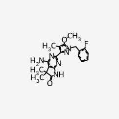 COc1c(C)c(-c2nc(N)c3c(n2)NC(=O)C3(C)C)nn1Cc1ccccc1F